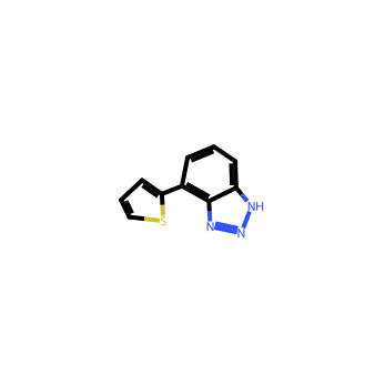 c1csc(-c2cccc3[nH]nnc23)c1